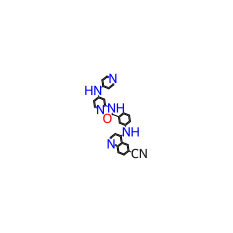 N#Cc1ccc2nccc(Nc3cccc(C(=O)Nc4cc(Nc5ccncc5)ccn4)c3)c2c1